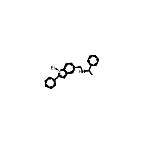 CCn1c(-c2ccccc2)cc2cc(CNC(C)c3ccccc3)ccc21